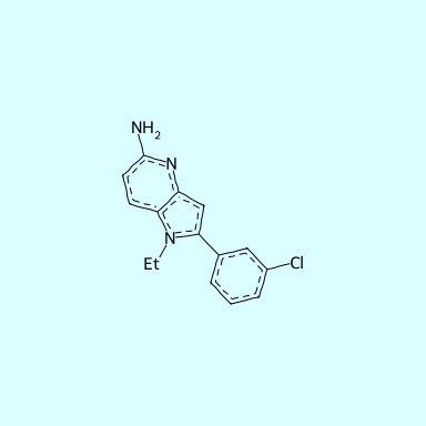 CCn1c(-c2cccc(Cl)c2)cc2nc(N)ccc21